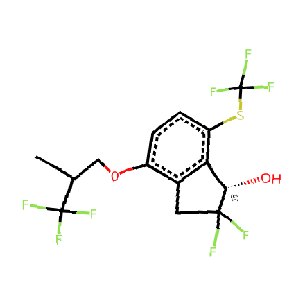 CC(COc1ccc(SC(F)(F)F)c2c1CC(F)(F)[C@H]2O)C(F)(F)F